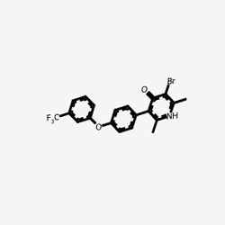 Cc1[nH]c(C)c(-c2ccc(Oc3cccc(C(F)(F)F)c3)cc2)c(=O)c1Br